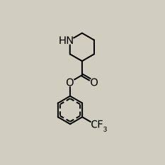 O=C(Oc1cccc(C(F)(F)F)c1)C1CCCNC1